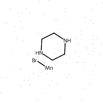 C1CNCCN1.[Mn][Br]